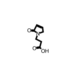 O=C(O)CCN1CC=CC1=O